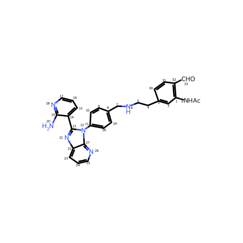 CC(=O)Nc1cc(CCNCc2ccc(-n3c(-c4cccnc4N)nc4cccnc43)cc2)ccc1C=O